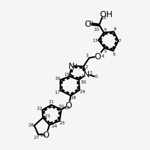 Cn1c(COc2cccc(C(=O)O)c2)nc2ccc(Oc3ccc4c(c3)OCC4)cc21